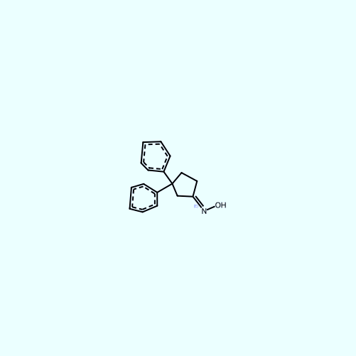 O/N=C1\CCC(c2ccccc2)(c2ccccc2)C1